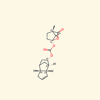 CC1(C)[C@]2(OC(=O)O[C@H]3CC4C[C@@H]3[C@@H]3C=CC[C@H]43)CC[C@]1(C)C(=O)O2